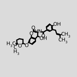 CC(C)=CCc1cc(C(=O)NC2C(=O)Oc3cc(OC4CCCC(C)(C)O4)ccc3C2O)ccc1O